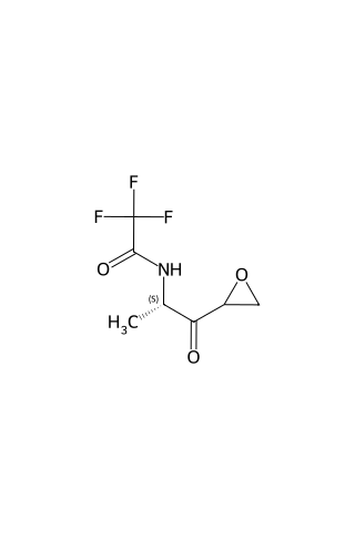 C[C@H](NC(=O)C(F)(F)F)C(=O)C1CO1